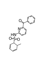 CC1C=CC=CC1S(=O)(=O)Nc1cccc(C(=O)c2ccccc2)n1